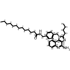 CCCCCCCCCCCCC(=O)NCc1ccc(Cn2c(CCCC)nc3c(N)nc4ccccc4c32)cc1